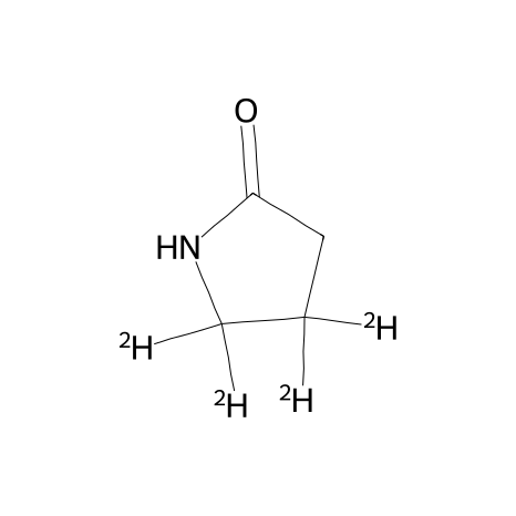 [2H]C1([2H])CC(=O)NC1([2H])[2H]